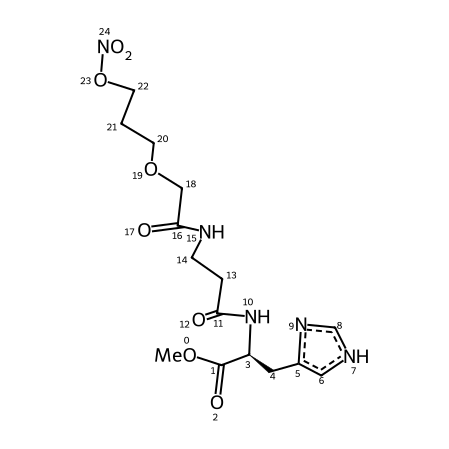 COC(=O)[C@H](Cc1c[nH]cn1)NC(=O)CCNC(=O)COCCCO[N+](=O)[O-]